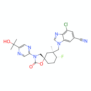 CC(C)(O)c1cnc(N2C[C@@]3(CC[C@@H](F)[C@](C)(Cn4cnc5c(Cl)cc(C#N)cc54)C3)OC2=O)cn1